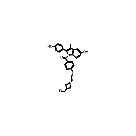 Cc1c(-c2ccc(O)cc2)n(C(=O)c2ccc(OCCN3CC(CF)C3)cc2)c2ccc(O)cc12